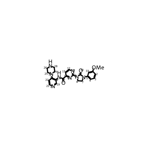 COc1cccc(N2CCN(c3nccc(C(=O)Nc4cnccc4N4CCNCC4)n3)C2=O)c1